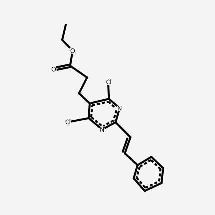 CCOC(=O)CCc1c(Cl)nc(C=Cc2ccccc2)nc1Cl